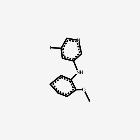 COc1ccccc1Nc1cncc(I)c1